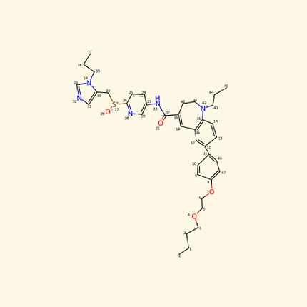 CCCCOCCOc1ccc(-c2ccc3c(c2)C=C(C(=O)Nc2ccc([S+]([O-])Cc4cncn4CCC)nc2)CCN3CCC)cc1